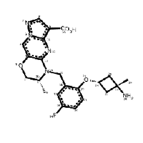 C[C@@H]1COc2cn3ncc(C(=O)O)c3nc2N1Cc1cc(F)ccc1O[C@H]1C[C@@](C)(N)C1